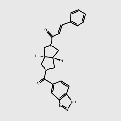 O=C(C=Cc1ccccc1)N1C[C@@H]2CN(C(=O)c3ccc4[nH]nnc4c3)C[C@H]2C1